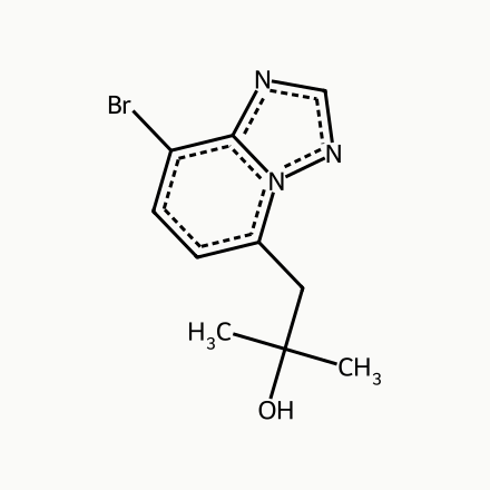 CC(C)(O)Cc1ccc(Br)c2ncnn12